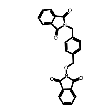 O=C1c2ccccc2C(=O)N1Cc1ccc(CON2C(=O)c3ccccc3C2=O)cc1